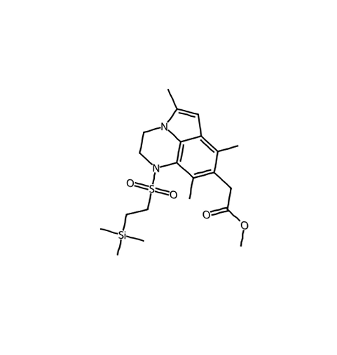 COC(=O)Cc1c(C)c2c3c(cc(C)n3CCN2S(=O)(=O)CC[Si](C)(C)C)c1C